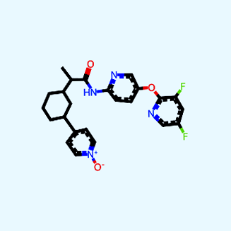 CC(C(=O)Nc1ccc(Oc2ncc(F)cc2F)cn1)C1CCCC(c2cc[n+]([O-])cc2)C1